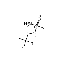 CC(C)(C)COP(C)(N)=O